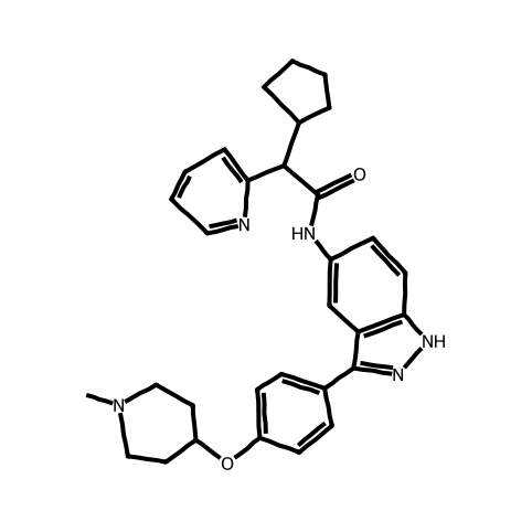 CN1CCC(Oc2ccc(-c3n[nH]c4ccc(NC(=O)C(c5ccccn5)C5CCCC5)cc34)cc2)CC1